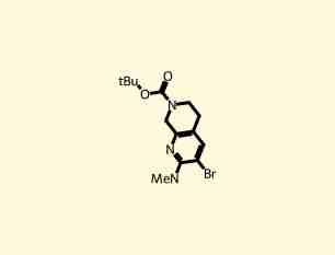 CNc1nc2c(cc1Br)CCN(C(=O)OC(C)(C)C)C2